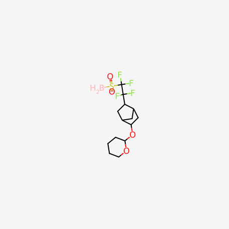 BS(=O)(=O)C(F)(F)C(F)(F)C1CC2CC1CC2OC1CCCCO1